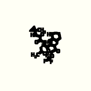 CC(C)C[C@H](NC(=O)C(=O)NC1(C)CC1)C(=O)N[C@@H](C[C@@H]1CCCNC1=O)C(=O)COC(F)(F)F